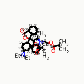 C=C(C)C(=O)OCCn1c(C)c(C2(c3ccc(N(CC)CC)cc3OC(=O)C(=C)C)OC(=O)c3ccccc32)c2ccccc21